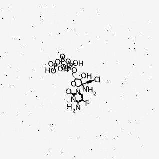 Nc1nc(=O)n([C@@H]2O[C@H](COP(=O)(O)OP(=O)(O)OP(=O)(O)O)[C@H](O)C2(N)C#CCl)cc1F